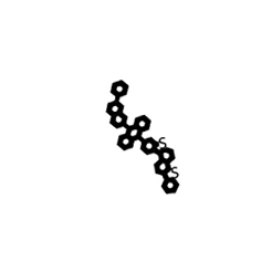 c1ccc(-c2ccc3ccc(-c4c5ccccc5c(-c5ccc6c(c5)sc5ccc7c(ccc8c9ccccc9sc87)c56)c5ccccc45)cc3c2)cc1